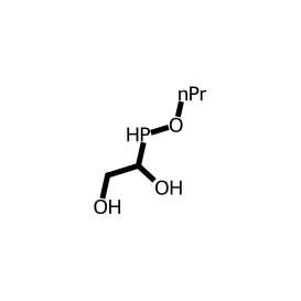 CCCOPC(O)CO